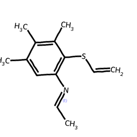 C=CSc1c(/N=C/C)cc(C)c(C)c1C